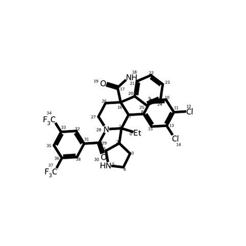 CCC1(C2CCNC2)C(c2ccc(Cl)c(Cl)c2)C(C(N)=O)(c2ccccc2)CCN1C(=O)c1cc(C(F)(F)F)cc(C(F)(F)F)c1